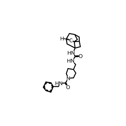 O=C(NCC1CCN(C(=O)NCc2ccccc2)CC1)NC12CC3CC4C[C@@H](C1)CC32C4